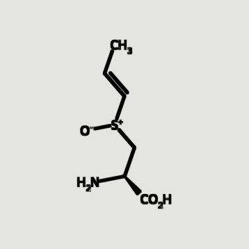 CC=C[S+]([O-])C[C@H](N)C(=O)O